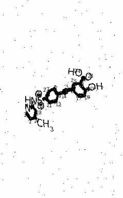 Cc1ccnc(NS(=O)(=O)c2ccc(C#Cc3ccc(O)c(C(=O)O)c3)cc2)c1